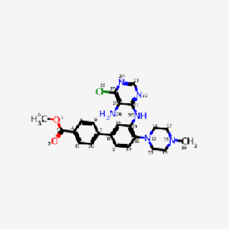 COC(=O)c1ccc(-c2ccc(N3CCN(C)CC3)c(Nc3ncnc(Cl)c3N)c2)cc1